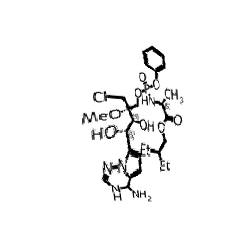 CCC(CC)COC(=O)[C@H](C)NP(=O)(OC[C@@](CCl)(OC)[C@@H](O)[C@@H](O)c1ccc2n1N=CNC2N)Oc1ccccc1